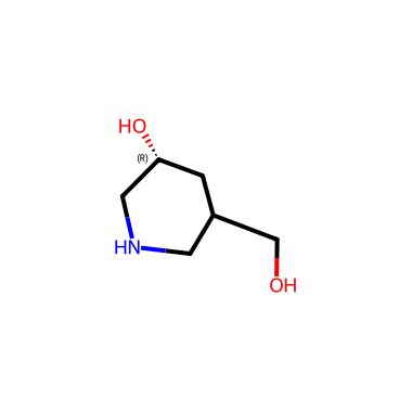 OCC1CNC[C@H](O)C1